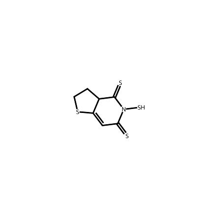 S=C1C=C2SCCC2C(=S)N1S